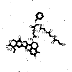 CC[C@@]1(O)C(=O)OCc2c1cc1n(c2=O)Cc2c-1nc1cc(F)c(C)c3c1c2[C@@H](NC(=O)CNC(=O)[C@H](Cc1ccccc1)NC(=O)CNC(=O)CNC(=O)CCS)CC3